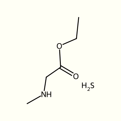 CCOC(=O)CNC.S